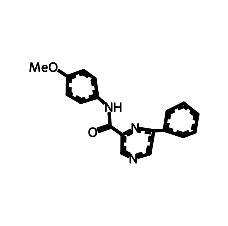 COc1ccc(NC(=O)c2cncc(-c3ccccc3)n2)cc1